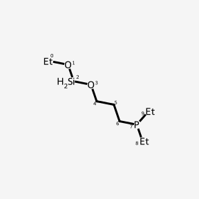 CCO[SiH2]OCCCP(CC)CC